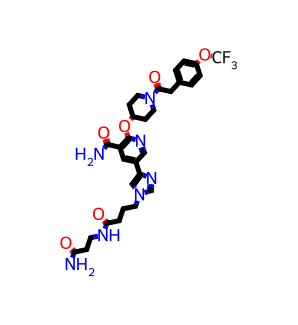 NC(=O)CCNC(=O)CCCn1cnc(-c2cnc(OC3CCN(C(=O)Cc4ccc(OC(F)(F)F)cc4)CC3)c(C(N)=O)c2)c1